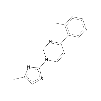 Cc1csc(N2C=CC(c3cnccc3C)=NC2)n1